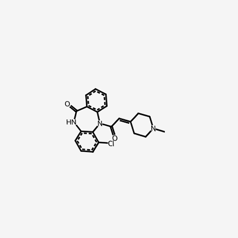 CN1CCC(=CC(=O)N2c3ccccc3C(=O)Nc3cccc(Cl)c32)CC1